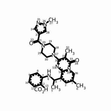 Cc1cc(C(C)Nc2ccccc2C(=O)O)c2nc(N3CCN(C(=O)c4cnn(C)c4)CC3)c(C)c(=O)n2c1